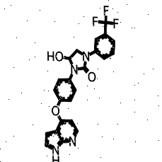 O=C1N(c2cccc(C(F)(F)F)c2)CC(O)N1c1ccc(Oc2ccnc3[nH]ccc23)cc1